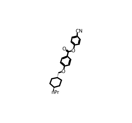 CCC[C@H]1CC[C@H](COc2ccc(C(=O)Oc3ccc(C#N)cc3)cc2)CC1